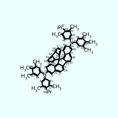 Cc1cc(N(c2cc(C)c(C(C)C)c(C)c2)c2ccc3c4c(ccc3c2)-c2ccc3cc(N(c5cc(C)c(C)c(C)c5)c5cc(C)c(C(C)C)c(C)c5)ccc3c2C42c3ccccc3-c3ccccc32)cc(C)c1C